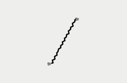 BrCCCCCCCCCCCCCCCCCCCCCCCCBr